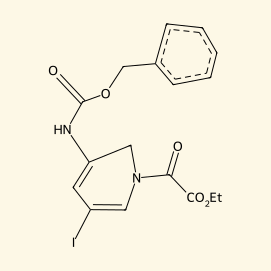 CCOC(=O)C(=O)N1C=C(I)C=C(NC(=O)OCc2ccccc2)C1